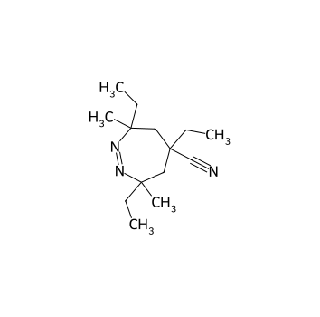 CCC1(C#N)CC(C)(CC)N=NC(C)(CC)C1